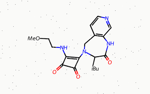 CCC(C)C1C(=O)Nc2cnccc2CN1c1c(NCCOC)c(=O)c1=O